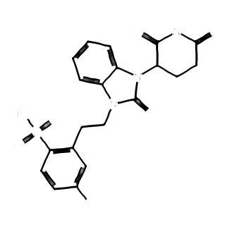 Cc1ccc(S(=O)(=O)O)c(CCn2c(=O)n(C3CCC(=O)NC3=O)c3ccccc32)c1